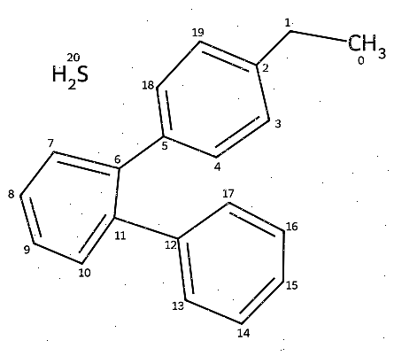 CCc1ccc(-c2ccccc2-c2ccccc2)cc1.S